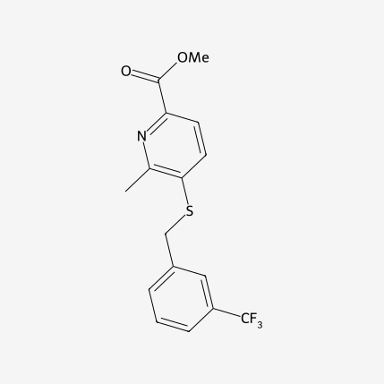 COC(=O)c1ccc(SCc2cccc(C(F)(F)F)c2)c(C)n1